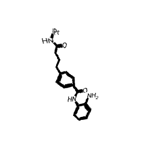 CC(C)NC(=O)CCCc1ccc(C(=O)Nc2ccccc2N)cc1